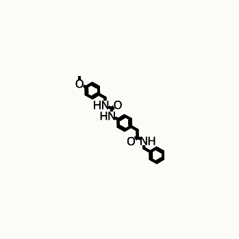 COc1ccc(CNC(=O)Nc2ccc(CC(=O)NCc3ccccc3)cc2)cc1